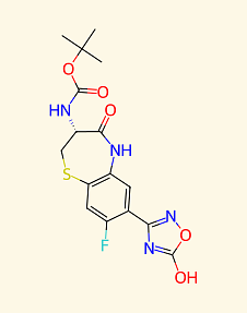 CC(C)(C)OC(=O)N[C@H]1CSc2cc(F)c(-c3noc(O)n3)cc2NC1=O